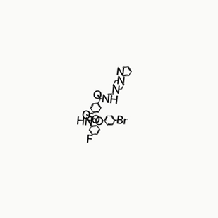 O=C(NCCN1CCN(c2ccccn2)CC1)c1ccc(S(=O)(=O)Nc2cc(F)ccc2Oc2ccc(Br)cc2)cc1